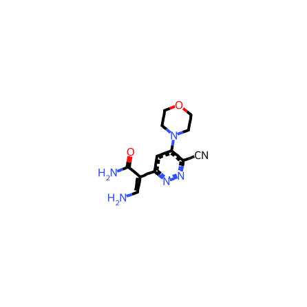 N#Cc1nnc(/C(=C/N)C(N)=O)cc1N1CCOCC1